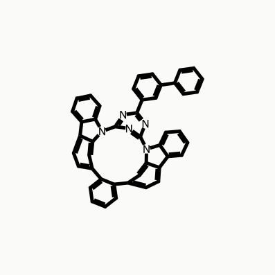 c1ccc(-c2cccc(-c3nc4nc(n3)n3c5ccccc5c5ccc(cc53)c3ccccc3c3ccc5c6ccccc6n4c5c3)c2)cc1